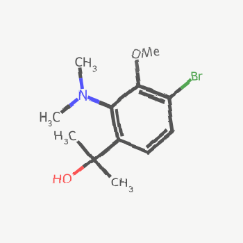 COc1c(Br)ccc(C(C)(C)O)c1N(C)C